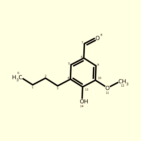 CCCCc1cc(C=O)cc(OC)c1O